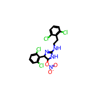 O=[N+]([O-])OC1NC(NCCc2c(Cl)cccc2Cl)=NC1c1c(Cl)cccc1Cl